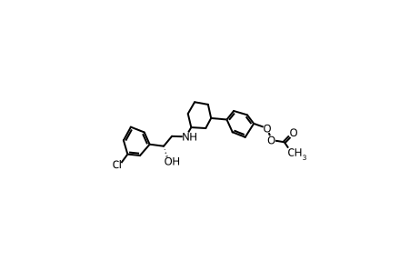 CC(=O)OOc1ccc(C2CCCC(NC[C@H](O)c3cccc(Cl)c3)C2)cc1